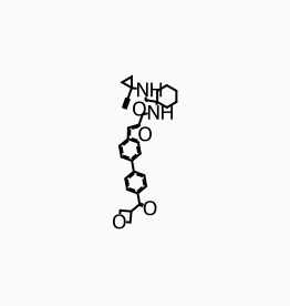 C#CC1(NC(=O)C2(NCc3cc4ccc(-c5ccc(C(=O)C6COC6)cc5)cc4o3)CCCCC2)CC1